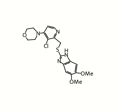 COc1cc2nc(SCc3nccc(N4CCOCC4)c3Cl)[nH]c2cc1OC